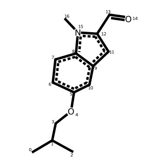 CC(C)COc1ccc2c(c1)cc(C=O)n2C